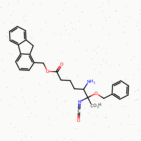 NC(CCCC(=O)OCc1cccc2c1Cc1ccccc1-2)C(N=C=O)(OCc1ccccc1)C(=O)O